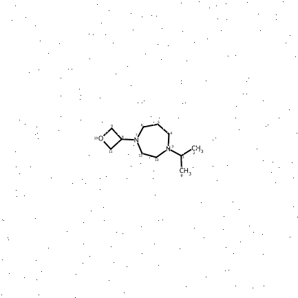 CC(C)N1CCCN(C2COC2)CC1